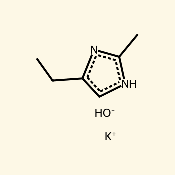 CCc1c[nH]c(C)n1.[K+].[OH-]